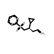 C=CC[C@@H](CS(=O)(=O)c1ncccn1)C1CC1